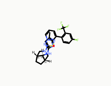 Cc1cc(N2C[C@H]3CC[C@@H](C2)[C@@H]3Nc2nc3c(-c4ccc(F)cc4C(F)(F)F)cccn3n2)sn1